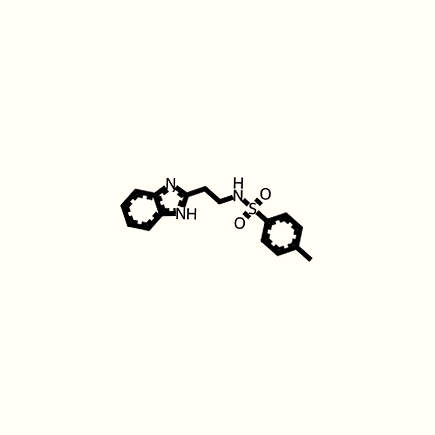 Cc1ccc(S(=O)(=O)NCCc2nc3ccccc3[nH]2)cc1